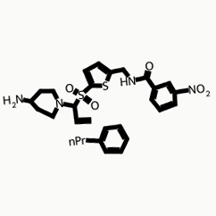 C=CC(N1CCC(N)CC1)S(=O)(=O)c1ccc(CNC(=O)c2cccc([N+](=O)[O-])c2)s1.CCCc1ccccc1